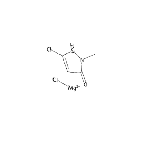 CN1[SH]C(Cl)=CC1=O.[Mg+2][Cl]